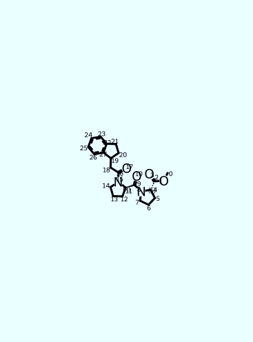 COC(=O)[C@@H]1CCCN1C(=O)[C@H]1CCCN1C(=O)CC1CCc2ccccc21